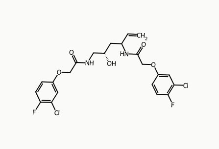 C=CC(C[C@H](O)CNC(=O)COc1ccc(F)c(Cl)c1)NC(=O)COc1ccc(F)c(Cl)c1